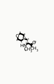 CN[C@H](CN1CCOCC1)C(C)=O